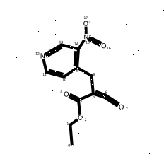 CCOC(=O)C(=C=O)Cc1ccncc1[N+](=O)[O-]